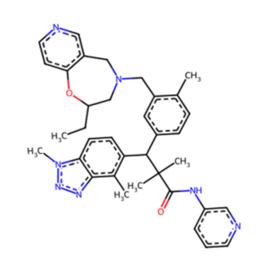 CCC1CN(Cc2cc(C(c3ccc4c(nnn4C)c3C)C(C)(C)C(=O)Nc3cccnc3)ccc2C)Cc2cnccc2O1